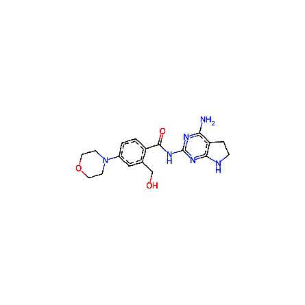 Nc1nc(NC(=O)c2ccc(N3CCOCC3)cc2CO)nc2c1CCN2